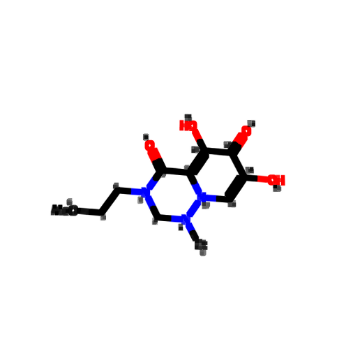 CCN1CN(CCOC)C(=O)c2c(O)c(=O)c(O)cn21